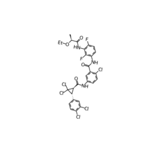 CCO[C@@H](C)C(=O)Nc1c(F)ccc(NC(=O)c2cc(NC(=O)[C@H]3[C@H](c4ccc(Cl)c(Cl)c4)C3(Cl)Cl)ccc2Cl)c1F